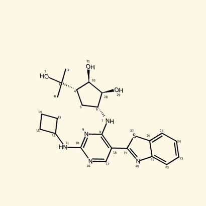 CC(C)(O)[C@H]1C[C@@H](Nc2nc(NC3CCC3)ncc2-c2nc3ccccc3s2)[C@H](O)[C@@H]1O